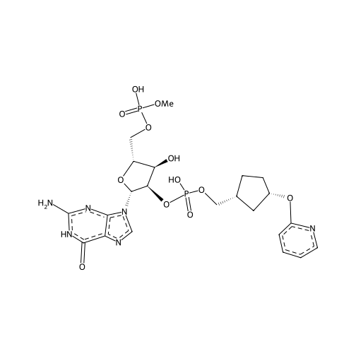 COP(=O)(O)OC[C@H]1O[C@@H](n2cnc3c(=O)[nH]c(N)nc32)[C@H](OP(=O)(O)OC[C@@H]2CC[C@H](Oc3ccccn3)C2)[C@@H]1O